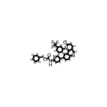 O=C(Nc1ccc(-c2ccc3ncc4ccc(=O)n(-c5cccc(C(F)(F)F)c5)c4c3c2)cn1)OCc1ccccc1